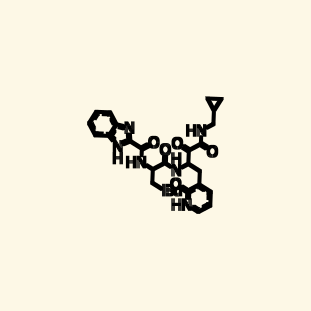 CCC(C)CC(NC(=O)c1nc2ccccc2[nH]1)C(=O)NC(Cc1ccc[nH]c1=O)C(=O)C(=O)NCC1CC1